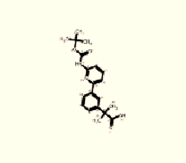 CC(C)(C)OC(=O)Nc1cccc(-c2cccc(C(C)(C)C(=O)O)c2)n1